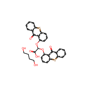 O=C(O)C(Oc1cccc2sc3ccccc3c(=O)c12)Oc1cccc2sc3ccccc3c(=O)c12.OCCCCO